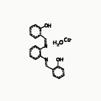 O.Oc1ccccc1/C=N\c1ccccc1/N=C/c1ccccc1O.[Co]